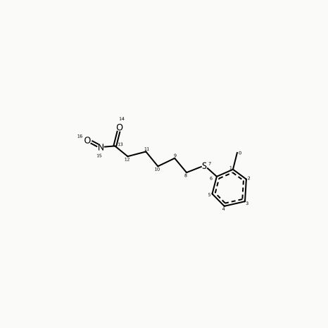 Cc1ccccc1SCCCCCC(=O)N=O